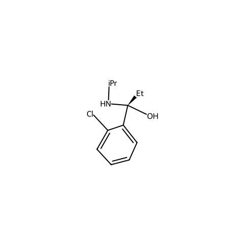 CC[C@](O)(NC(C)C)c1ccccc1Cl